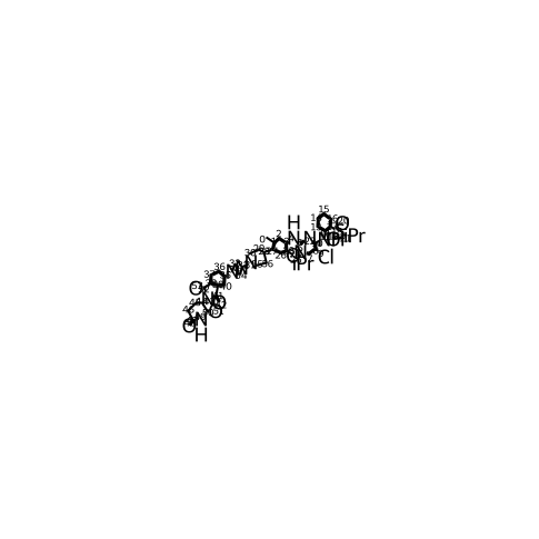 Cc1cc(Nc2ncc(Cl)c(Nc3ccccc3S(=O)(=O)C(C)C)n2)c(OC(C)C)cc1C1CCN(N2CN(c3ccc4c(c3)C(=O)N(C3CCC(=O)NC3=O)C4=O)C2)CC1